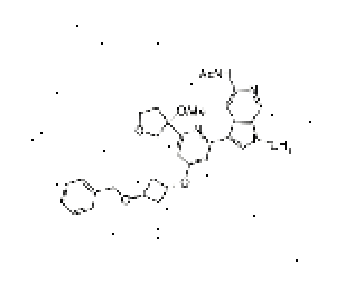 CO[C@@]1(c2cc(O[C@H]3C[C@H](OCc4ccccc4)C3)cc(-c3cn(C)c4cnc(NC(C)=O)cc34)n2)CCOC1